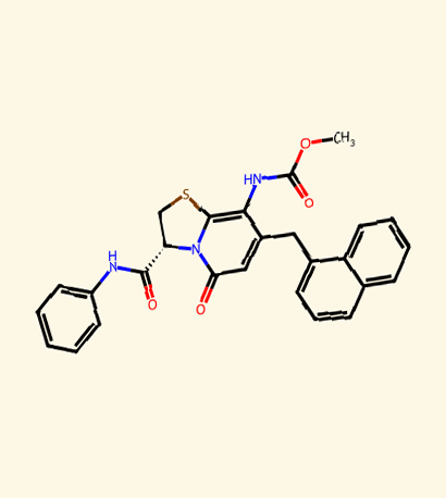 COC(=O)Nc1c(Cc2cccc3ccccc23)cc(=O)n2c1SC[C@H]2C(=O)Nc1ccccc1